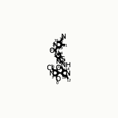 COc1cnc(Cl)cc1-c1cc(C)ncc1C(=O)Nc1nc2c(s1)CN(C(=O)c1cc(C)c(C#N)cn1)C2